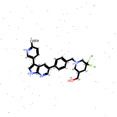 COc1ccc(-c2c[nH]c3ncc(-c4ccc(CN5CC(CO)CC(F)(F)C5)cc4)cc23)cn1